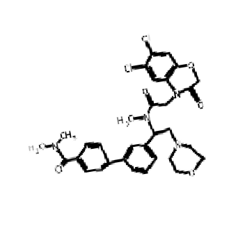 CN(C)C(=O)c1ccc(-c2cccc(C(CN3CCOCC3)N(C)C(=O)CN3C(=O)COc4cc(Cl)c(Cl)cc43)c2)cc1